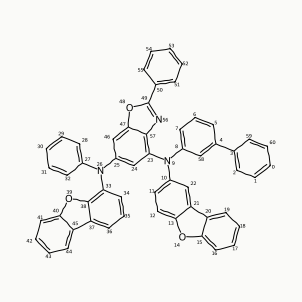 c1ccc(-c2cccc(N(c3ccc4oc5ccccc5c4c3)c3cc(N(c4ccccc4)c4cccc5c4oc4ccccc45)cc4oc(-c5ccccc5)nc34)c2)cc1